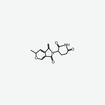 C=C1C2=CC(C)OC=C2C(=O)N1C1CCC(=O)NC1=O